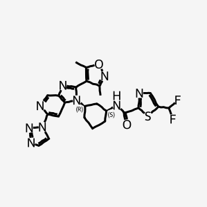 Cc1noc(C)c1-c1nc2cnc(-n3ccnn3)cc2n1[C@@H]1CCC[C@H](NC(=O)c2ncc(C(F)F)s2)C1